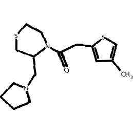 Cc1csc(CC(=O)N2CCSCC2CN2CCCC2)c1